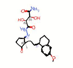 COc1ccc2c(c1)CCC/C2=C\C[C@@]1(C)C(=O)CC/C1=N\NC(=O)[C@@H](O)[C@H](O)C(N)=O